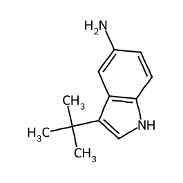 CC(C)(C)c1c[nH]c2ccc(N)cc12